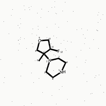 CC1(N2CCNCC2)COCC1F